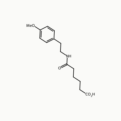 COc1ccc(CCNC(=O)CCCCC(=O)O)cc1